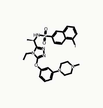 CCn1c(Oc2cccc(N3CCN(C)CC3)c2)nnc1[C@@H](C)NS(=O)(=O)c1ccc2c(I)cccc2c1